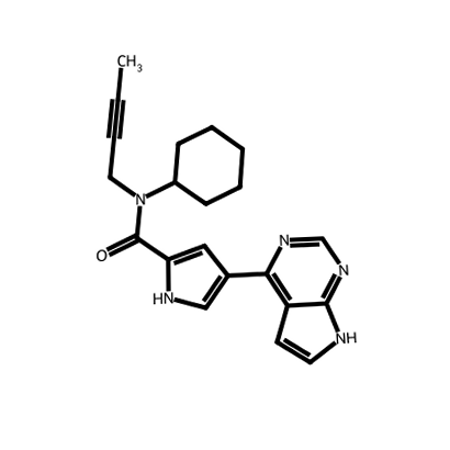 CC#CCN(C(=O)c1cc(-c2ncnc3[nH]ccc23)c[nH]1)C1CCCCC1